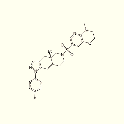 CC[C@]12Cc3cnn(-c4ccc(F)cc4)c3C=C1CCN(S(=O)(=O)c1cnc3c(c1)OCCN3C)C2